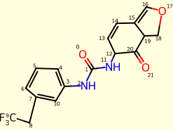 O=C(Nc1cccc(CC(F)(F)F)c1)NC1C=CC2=COCC2C1=O